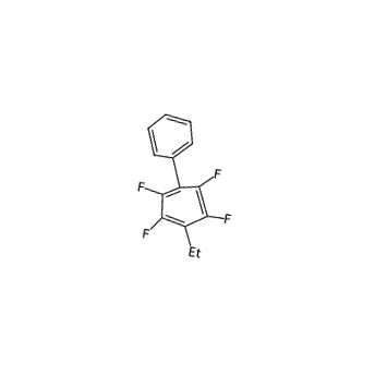 CCc1c(F)c(F)c(-c2ccccc2)c(F)c1F